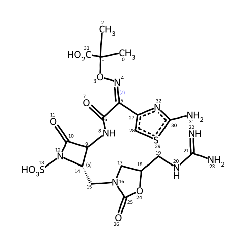 CC(C)(O/N=C(\C(=O)NC1C(=O)N(S(=O)(=O)O)[C@H]1CN1CC(CNC(=N)N)OC1=O)c1csc(N)n1)C(=O)O